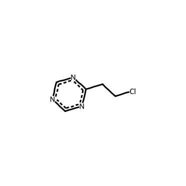 ClCCc1ncncn1